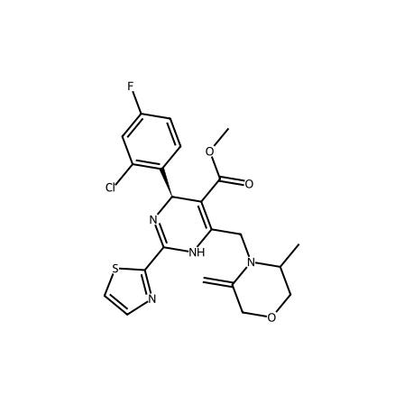 C=C1COCC(C)N1CC1=C(C(=O)OC)[C@H](c2ccc(F)cc2Cl)N=C(c2nccs2)N1